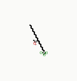 CCCCCCCCCCCCCCCCCC[Si](Cl)(Cl)Cl.CO[SiH2]C